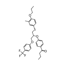 CCCOc1ccc(SCC(COc2ccc(C(F)(F)F)cc2)Oc2ccc(C(=O)CCC)cc2)cc1C